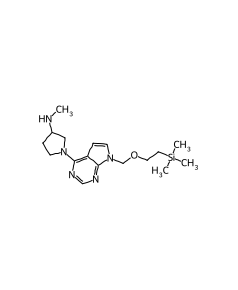 CNC1CCN(c2ncnc3c2ccn3COCC[Si](C)(C)C)C1